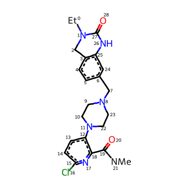 CCN1Cc2ccc(CN3CCN(c4ccc(Cl)nc4C(=O)NC)CC3)cc2NC1=O